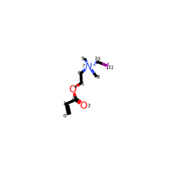 C=CC(=O)OCC[N+](C)(C)CI